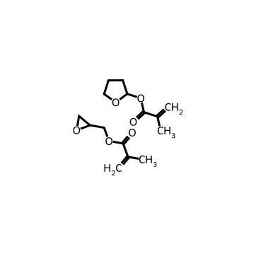 C=C(C)C(=O)OC1CCCO1.C=C(C)C(=O)OCC1CO1